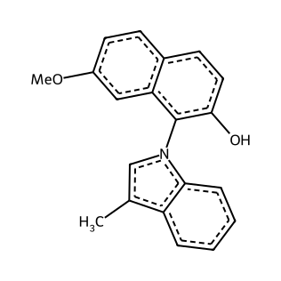 COc1ccc2ccc(O)c(-n3cc(C)c4ccccc43)c2c1